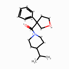 CC(C)C1CCN(C(=O)C2(c3ccccc3)CCOC2)CC1